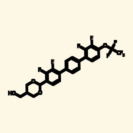 OCC1COC(c2ccc(-c3ccc(-c4ccc(OC(F)(F)C(F)(F)F)c(F)c4F)cc3)c(F)c2F)OC1